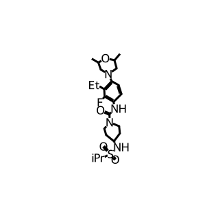 CCc1c(N2CC(C)OC(C)C2)ccc(NC(=O)N2CCC(NS(=O)(=O)C(C)C)CC2)c1F